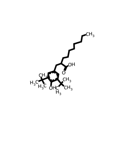 CCCCCCCCC(Cc1cc(C(C)(C)C)c(O)c(C(C)(C)C)c1)C(=O)O